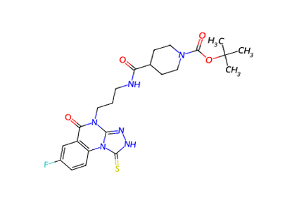 CC(C)(C)OC(=O)N1CCC(C(=O)NCCCn2c(=O)c3cc(F)ccc3n3c(=S)[nH]nc23)CC1